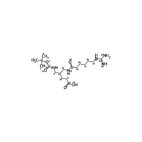 CC(C)(C)OC(=O)NCC(CCC(=O)O)CNC(=O)CCCCCNC(=N)N